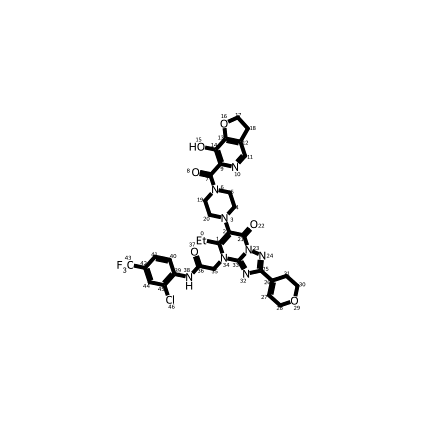 CCc1c(N2CCN(C(=O)c3ncc4c(c3O)OCC4)CC2)c(=O)n2nc(C3=CCOCC3)nc2n1CC(=O)Nc1ccc(C(F)(F)F)cc1Cl